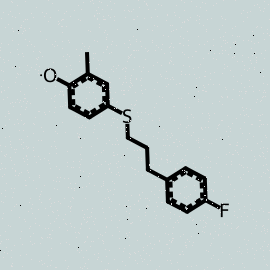 Cc1cc(SCCCc2ccc(F)cc2)ccc1[O]